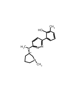 Cc1cccc(-c2ccc(N(C)[C@@H]3CCCN(C)C3)nn2)c1O